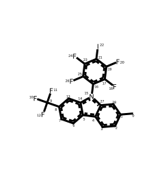 Cc1ccc2c3ccc(C(F)(F)F)cc3n(-c3c(F)c(F)c(I)c(F)c3F)c2c1